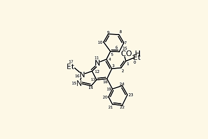 CCC(=Cc1c(-c2ccccc2)nc2c(cnn2CC)c1-c1ccccc1)C(=O)O